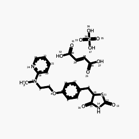 CN(CCOc1ccc(CC2SC(=O)NC2=O)cc1)c1ccccn1.O=C(O)C=CC(=O)O.O=S(=O)(O)O